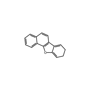 C1=c2oc3c(ccc4ccccc43)c2=CCC1